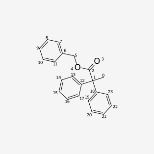 CC(C(=O)OCc1ccccc1)(c1ccccc1)c1ccccc1